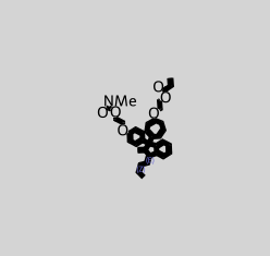 C=CC(=O)OCCOC1=CC=C(C2(c3ccc(OCCOC(=O)NC)cc3)C(=C)/C(=C\C=C/C)c3ccccc32)C=CC1